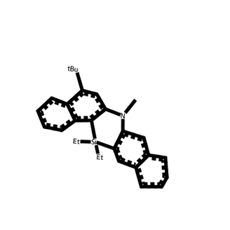 CC[Si]1(CC)c2cc3ccccc3cc2N(C)c2cc(C(C)(C)C)c3ccccc3c21